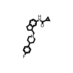 O=C(Nc1ccc2c(c1)C(CN1CCC(c3ccc(F)cc3)CC1)CC2)C1CC1